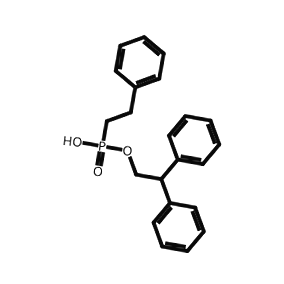 O=P(O)(CCc1ccccc1)OCC(c1ccccc1)c1ccccc1